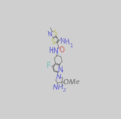 COC1(C)CN(c2cc(F)c3c(n2)CCC(NC(=O)c2sc4nc(C)sc4c2N)C3)CC1N